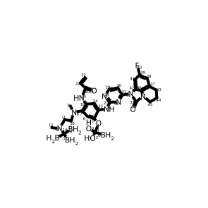 BC(O)(O)Oc1cc(N(C)CCN(C)C(B)(B)B)c(NC(=O)C=C)cc1Nc1nccc(-n2c(=O)n3c4c(cc(F)cc42)CCC3)n1